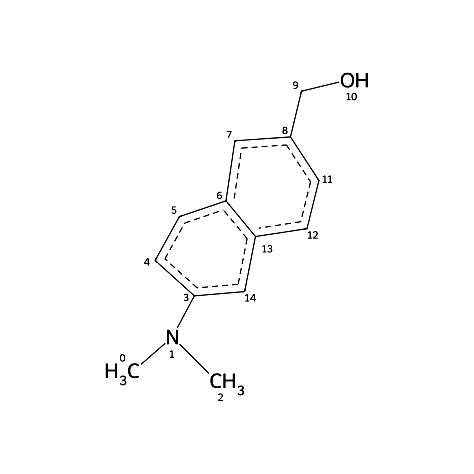 CN(C)c1ccc2cc(CO)ccc2c1